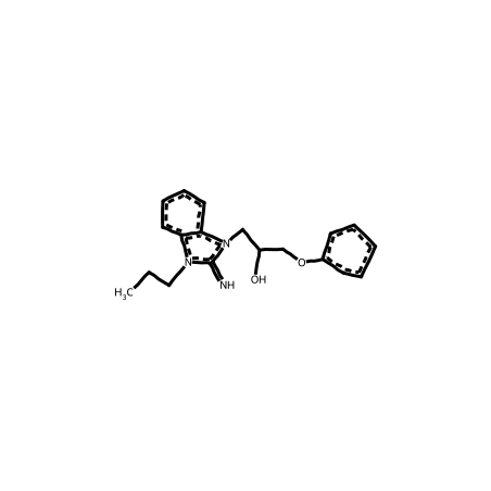 CCCn1c(=N)n(CC(O)COc2ccccc2)c2ccccc21